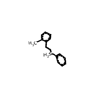 Cc1ccccc1CC[SiH2]c1ccccc1